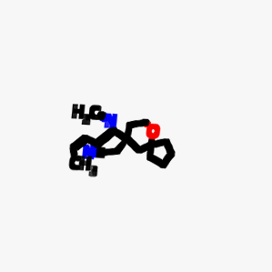 C=N/C(=C\C=C/C)[C@]1(CC#N)CCOC2(CCCC2)C1